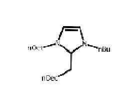 CCCCCCCCCCCC1N(CCCC)C=CN1CCCCCCCC